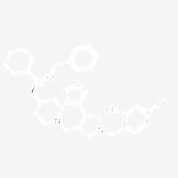 Clc1ccc(CN2CC(CN3CCC(C[C@H](OCc4ccccc4)C4CCCCC4)CC3)C(c3ccsc3)C2)c(Cl)c1